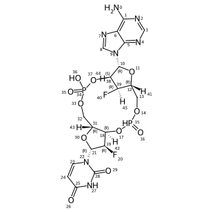 Nc1ncnc2c1ncn2[C@@H]1O[C@@H]2CO[PH](=O)O[C@H]3[C@@H](F)[C@H](n4ccc(=O)[nH]c4=O)O[C@@H]3COP(=O)(O)O[C@@H]1[C@@H]2F